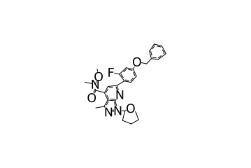 CON(C)C(=O)c1cc(-c2ccc(OCc3ccccc3)cc2F)nc2c1c(C)nn2C1CCCCO1